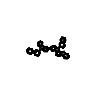 c1ccc(-c2cccc(-n3c4ccccc4c4cc(-c5ccc6c(c5)c5ccc7c8ccccc8sc7c5n6-c5ccc6ccccc6c5)ccc43)c2)cc1